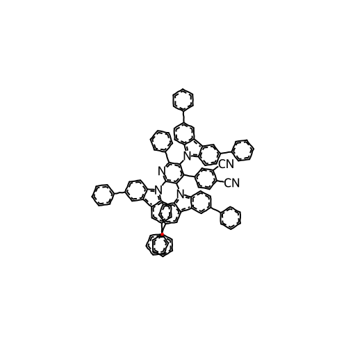 N#Cc1ccc(-c2c(-n3c4ccc(-c5ccccc5)cc4c4cc(-c5ccccc5)ccc43)c(-c3ccccc3)nc(-n3c4ccc(-c5ccccc5)cc4c4cc(-c5ccccc5)ccc43)c2-n2c3ccc(-c4ccccc4)cc3c3cc(-c4ccccc4)ccc32)cc1C#N